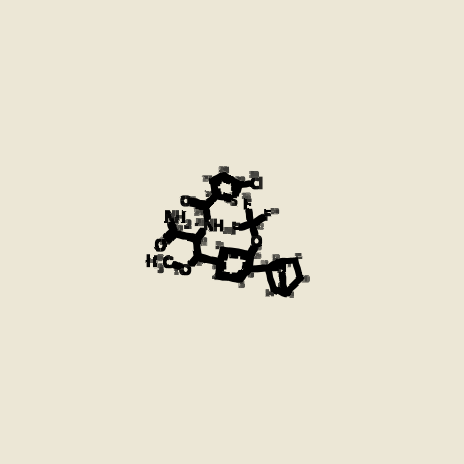 COC(c1ccc(N2CC3CCC2CC3)c(OC(F)(F)F)c1)C(NC(=O)c1ccc(Cl)s1)C(N)=O